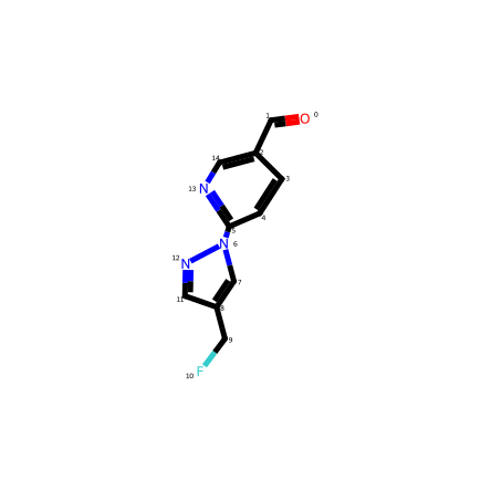 O=Cc1ccc(-n2cc(CF)cn2)nc1